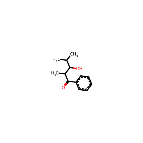 CC(C)C(O)C(C)C(=O)c1ccccc1